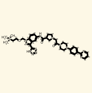 C[Si](C)(C)CCOCn1nc(-c2nnn[nH]2)c2cc(NC(=O)C3CCN(CC(=O)N4CCN(c5ccc(-c6ncccn6)cc5)CC4)C3)ccc21